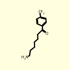 NCCCCCCC(=O)c1ccc(C(F)(F)F)cc1